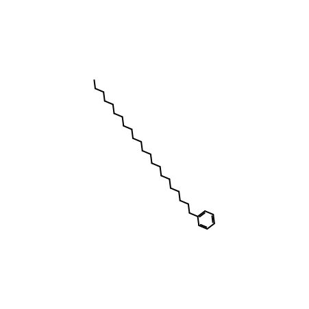 CCCCCCCCCCCCCCCCCCCCCCc1ccccc1